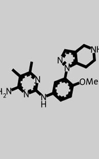 COc1ccc(Nc2nc(C)c(C)c(N)n2)cc1-n1ncc2c1CCNC2